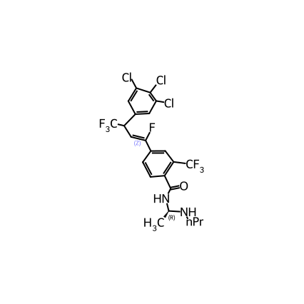 CCCN[C@@H](C)NC(=O)c1ccc(/C(F)=C/C(c2cc(Cl)c(Cl)c(Cl)c2)C(F)(F)F)cc1C(F)(F)F